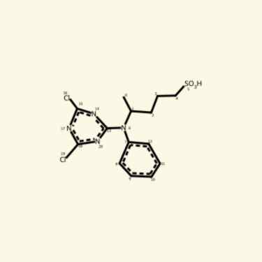 CC(CCCS(=O)(=O)O)N(c1ccccc1)c1nc(Cl)nc(Cl)n1